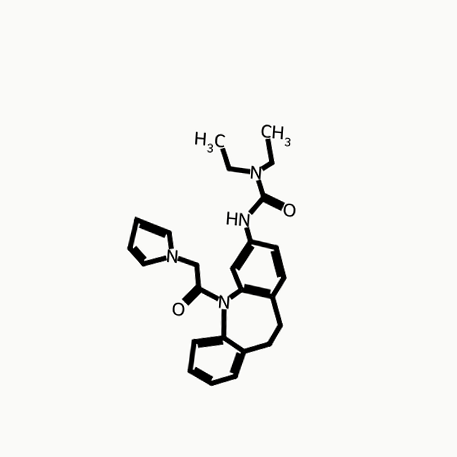 CCN(CC)C(=O)Nc1ccc2c(c1)N(C(=O)Cn1cccc1)c1ccccc1CC2